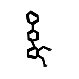 BrCc1cccc(-c2ccc(-c3ccccc3)cc2)c1CBr